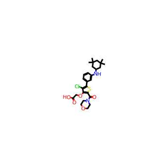 CC1(C)CC(Nc2cccc(-c3sc(C(=O)N4CCOCC4)c(OCC(=O)O)c3Cl)c2)CC(C)(C)C1